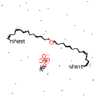 CCCCC/C=C\C/C=C\CCCCCCCCOCCCCCCCC/C=C\C/C=C\CCCCC.O=S(=O)([O-])[O-].[K+].[K+]